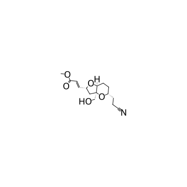 COC(=O)/C=C/[C@H]1C[C@]2(CO)O[C@@H](CCC#N)CC[C@@H]2O1